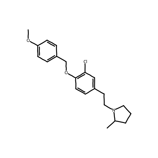 COc1ccc(COc2ccc(CCN3CCCC3C)cc2Cl)cc1